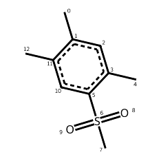 Cc1cc(C)c(S(C)(=O)=O)cc1C